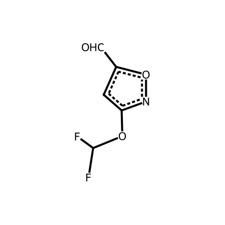 O=Cc1cc(OC(F)F)no1